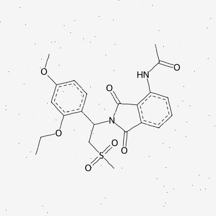 CCOc1cc(OC)ccc1C(CS(C)(=O)=O)N1C(=O)c2cccc(NC(C)=O)c2C1=O